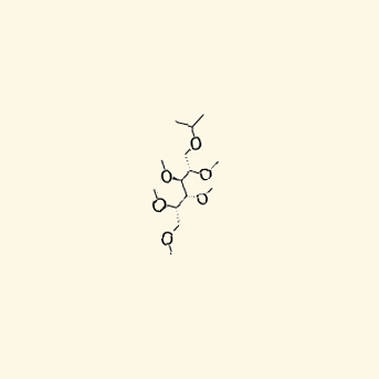 COC[C@H](OC)[C@@H](OC)[C@@H](OC)[C@H](COC(C)C)OC